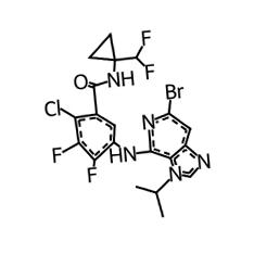 CC(C)n1cnc2cc(Br)nc(Nc3cc(C(=O)NC4(C(F)F)CC4)c(Cl)c(F)c3F)c21